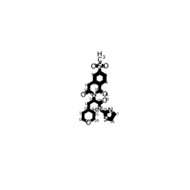 CS(=O)(=O)c1ccc2c(c1)CC(=O)N(C(CC1CCOCC1)C(=O)Nc1nccs1)C2=O